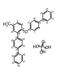 Cc1ccc(Oc2ccc(-c3ccccc3)cc2)c(-c2ccc(-c3ccccc3)cc2)c1.O=P(O)(O)O